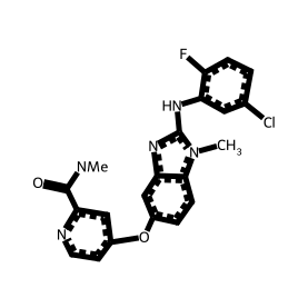 CNC(=O)c1cc(Oc2ccc3c(c2)nc(Nc2cc(Cl)ccc2F)n3C)ccn1